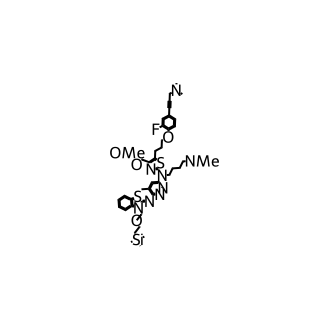 CNCCCCN(c1cc(C)c(/N=c2\sc3ccccc3n2COCC[Si](C)(C)C)nn1)c1nc(C(=O)OC)c(CCCOc2ccc(C#CCN(C)C)cc2F)s1